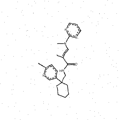 C/C(=C\N(C)c1ncccn1)C(=O)NCC1(c2ccc(C)nc2)CCCCC1